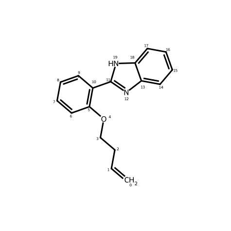 C=CCCOc1ccc[c]c1-c1nc2ccccc2[nH]1